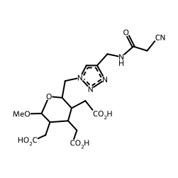 COC1OC(Cn2cc(CNC(=O)CC#N)nn2)C(CC(=O)O)C(CC(=O)O)C1CC(=O)O